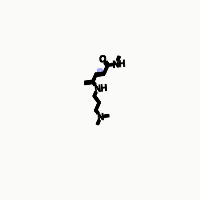 C=C(/C=C/C(=O)NC)NCCCN(C)C